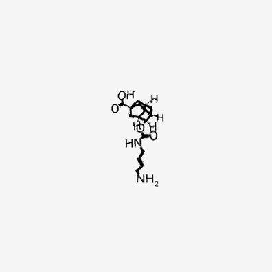 NC/C=C/CNC(=O)O[C@H]1[C@@H]2C[C@@H]3C[C@H]1C[C@@](C(=O)O)(C3)C2